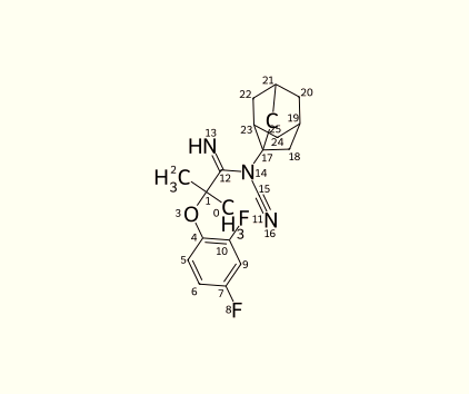 CC(C)(Oc1ccc(F)cc1F)C(=N)N(C#N)C12CC3CC(CC1C3)C2